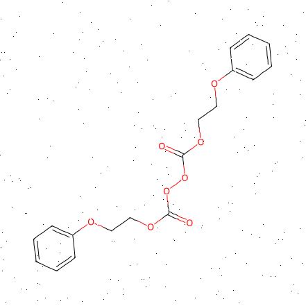 O=C(OCCOc1ccccc1)OOC(=O)OCCOc1ccccc1